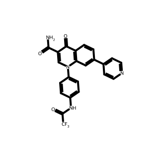 NC(=O)c1cn(-c2ccc(NC(=O)C(F)(F)F)cc2)c2cc(-c3ccncc3)ccc2c1=O